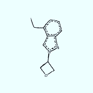 CCc1cccc2nn(C3COC3)cc12